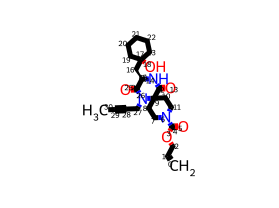 C=CCOC(=O)N1CCC2(CC1)C(=O)N[C@H](CC1(O)CCCCC1)C(=O)N2CC#CC